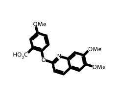 COc1ccc(Oc2ccc3cc(OC)c(OC)cc3n2)c(C(=O)O)c1